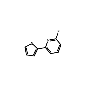 Fc1cccc(-c2cccs2)n1